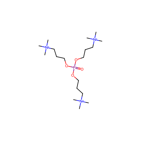 C[N+](C)(C)CCCOP(=O)(OCCC[N+](C)(C)C)OCCC[N+](C)(C)C